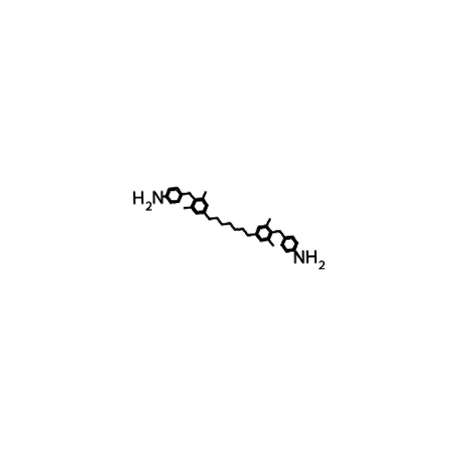 Cc1cc(CCCCCCCc2cc(C)c(Cc3ccc(N)cc3)c(C)c2)cc(C)c1Cc1ccc(N)cc1